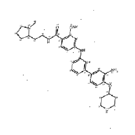 COc1cc(Nc2nccc(-c3ccc(OC4CCOCC4)c(N)c3)n2)ccc1C(=O)NCCC1CCCN1C